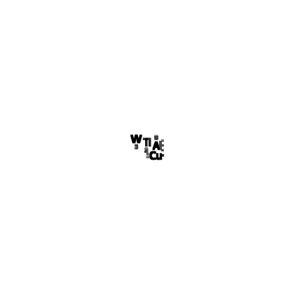 [Al].[Cu].[Ti].[W]